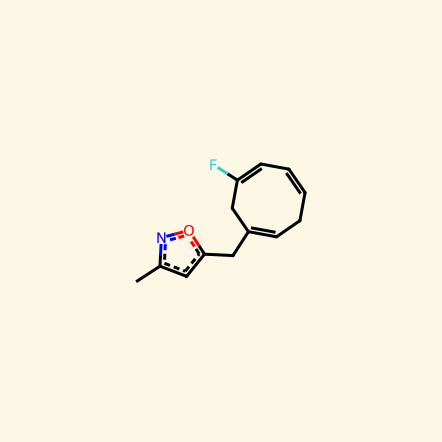 Cc1cc(C/C2=C/C/C=C\C=C(\F)C2)on1